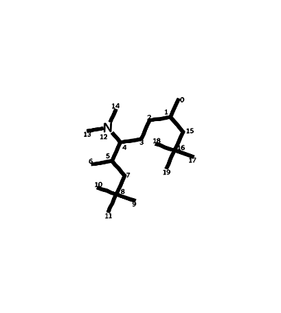 CC(CCC(C(C)CC(C)(C)C)N(C)C)CC(C)(C)C